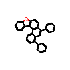 c1ccc(-c2cccc3c2cc(-c2ccccc2)c2ccc4oc5ccccc5c4c23)cc1